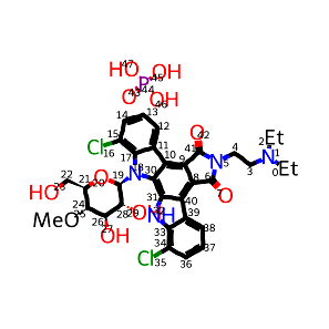 CCN(CC)CCN1C(=O)c2c(c3c4cccc(Cl)c4n([C@@H]4O[C@H](CO)[C@@H](OC)[C@H](O)[C@H]4O)c3c3[nH]c4c(Cl)cccc4c23)C1=O.O=P(O)(O)O